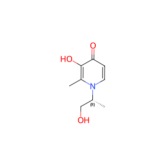 Cc1c(O)c(=O)ccn1[C@H](C)CO